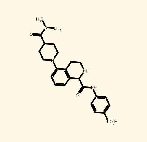 CN(C)C(=O)C1CCN(c2cccc3c2CCNC3C(=O)Nc2ccc(C(=O)O)cc2)CC1